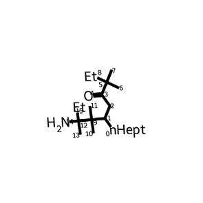 CCCCCCCC(CC(=O)C(C)(C)CC)C(C)(C)C(C)(N)CC